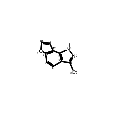 CCc1n[nH]c2c1ccc1occc12